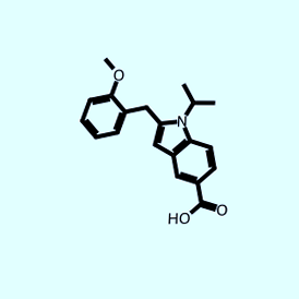 COc1ccccc1Cc1cc2cc(C(=O)O)ccc2n1C(C)C